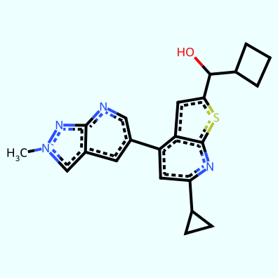 Cn1cc2cc(-c3cc(C4CC4)nc4sc(C(O)C5CCC5)cc34)cnc2n1